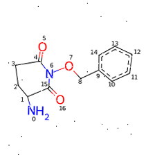 NC1CCC(=O)N(OCc2ccccc2)C1=O